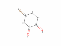 O=C1[C]C(=S)CCC1=O